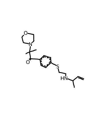 C=CC(C)NCCSc1ccc(C(=O)C(C)(C)N2CCOCC2)cc1